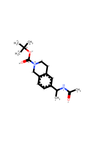 CC(=O)NC(C)c1ccc2c(c1)CCN(C(=O)OC(C)(C)C)C2